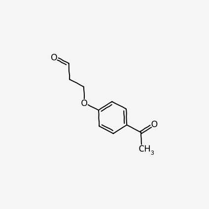 CC(=O)c1ccc(OCCC=O)cc1